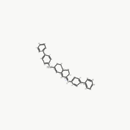 C1=C(Nc2ccc(-c3ccccc3)cc2)CCC2CC/C(=N\c3ccc(-c4ccccc4)cc3)C=C12